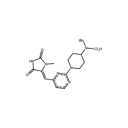 CN1C(=O)NC(=O)C1=Cc1ccnc(N2CCC(N(C(=O)O)C(C)(C)C)CC2)n1